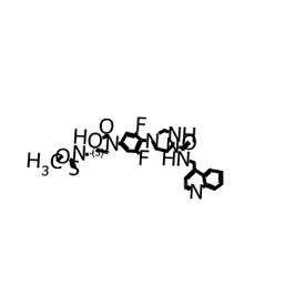 COC(=S)NC[C@H]1CN(c2cc(F)c(N3CCNN(C(=O)NCc4ccnc5ccccc45)CC3)c(F)c2)C(=O)O1